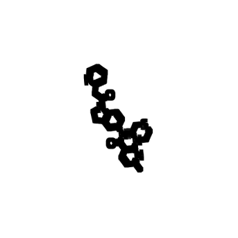 Cc1ccc(C(=O)Nc2ccc3c(c2)CCN3C(=O)Cc2ccccn2)c(N2CCSCC2)n1